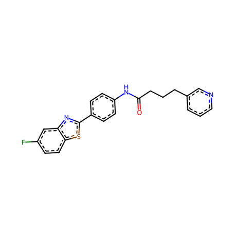 O=C(CCCc1cccnc1)Nc1ccc(-c2nc3cc(F)ccc3s2)cc1